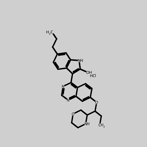 CCCc1ccc2c(-c3ncnc4cc(OC(CC)C5COCCN5)ccc34)c(O)[nH]c2c1.Cl